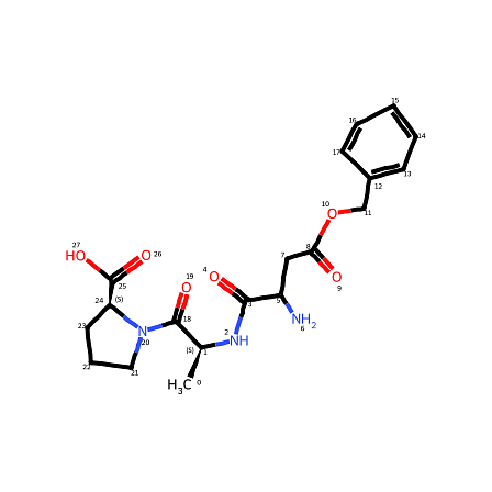 C[C@H](NC(=O)C(N)CC(=O)OCc1ccccc1)C(=O)N1CCC[C@H]1C(=O)O